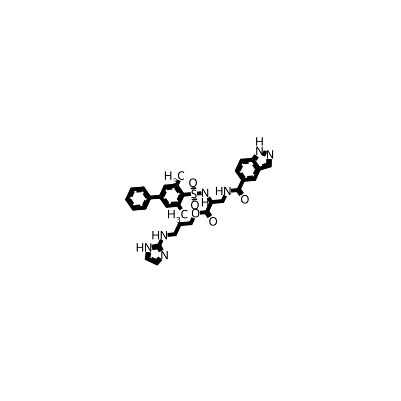 Cc1cc(-c2ccccc2)cc(C)c1S(=O)(=O)NC(CNC(=O)c1ccc2[nH]ncc2c1)C(=O)OCCCNc1ncc[nH]1